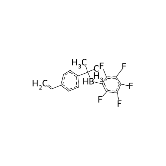 C=Cc1ccc(C(C)(C)Bc2c(F)c(F)c(F)c(F)c2F)cc1